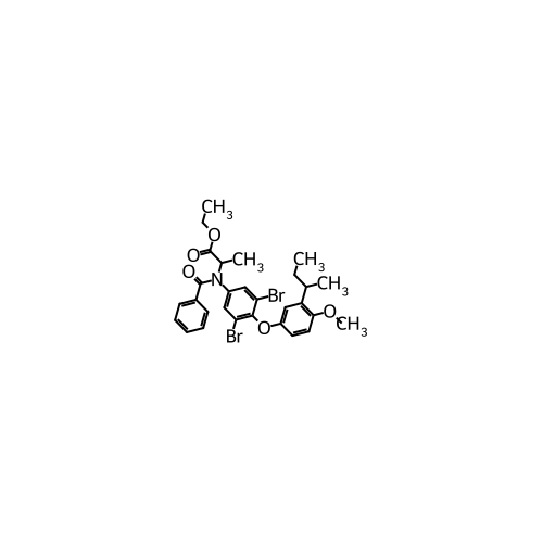 CCOC(=O)C(C)N(C(=O)c1ccccc1)c1cc(Br)c(Oc2ccc(OC)c(C(C)CC)c2)c(Br)c1